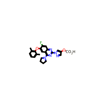 Cc1cccc(C)c1Oc1cc2c(N3CCCC3)nc(-n3cc(OC(=O)O)cn3)nc2cc1F